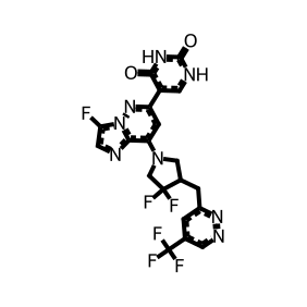 O=c1[nH]cc(-c2cc(N3CC(Cc4cc(C(F)(F)F)cnn4)C(F)(F)C3)c3ncc(F)n3n2)c(=O)[nH]1